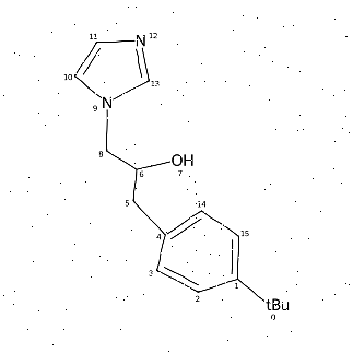 CC(C)(C)c1ccc(CC(O)Cn2ccnc2)cc1